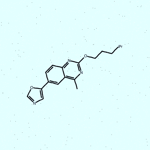 Cc1nc(OCCCC(C)C)nc2ccc(-c3cnco3)cc12